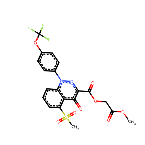 COC(=O)COC(=O)c1nn(-c2ccc(OC(F)(F)F)cc2)c2cccc(S(C)(=O)=O)c2c1=O